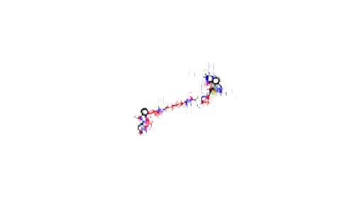 COC(=O)[C@H](CCC(=O)NCCOCCOCCNC(=O)COc1cccc2c1C(=O)N(C1CCC(=O)NC1=O)C2=O)NC(=O)c1ccc(N(C)Cc2ccc3[nH]c(C)nc(=O)c3c2)s1